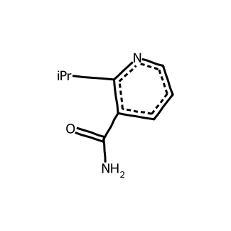 CC(C)c1ncccc1C(N)=O